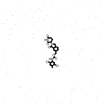 Cc1cc(Cl)c(NC(=O)OCc2ccc3c(c2)C(=O)N(C2CCC(=O)NC2=O)C3)cc1Cl